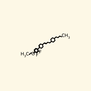 CCCCCC1CCC(CC/C=C/C2CC=C(c3ccc(OCCC)c(F)c3F)CC2)CC1